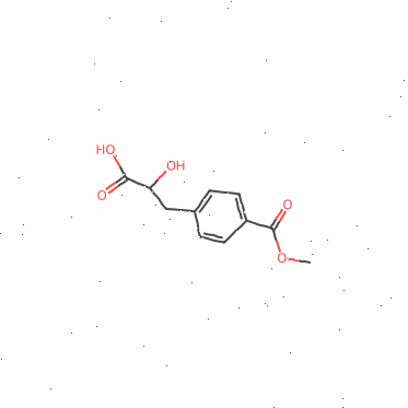 COC(=O)c1ccc(CC(O)C(=O)O)cc1